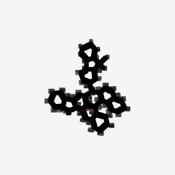 CC1(C)c2ccccc2-c2ccc(N(c3ccc4sc5ccccc5c4c3)c3ccc4ccccc4c3-c3cccc4ccccc34)cc21